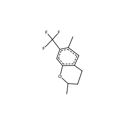 Cc1cc2c(cc1C(F)(F)F)OC(C)CC2